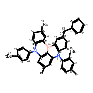 Cc1cc2c3c(c1)N(c1ccc(C)cc1C(C)(C)C)c1ccc([SiH2]c4ccccc4)cc1B3c1cc(C(C)(C)C)ccc1N2c1ccc(C(C)(C)C)cc1